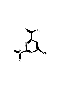 NC(=O)c1cc(O)nc([SH](=O)=O)n1